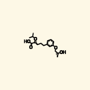 CC(C)O[C@@H](CCCc1cccc(OC[C@H](C)O)c1)C(=O)O